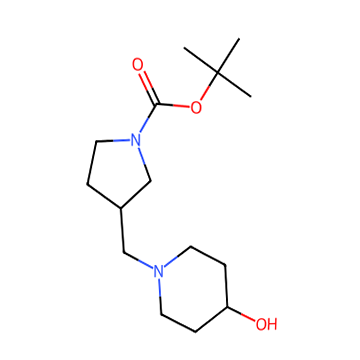 CC(C)(C)OC(=O)N1CCC(CN2CCC(O)CC2)C1